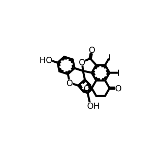 O=C1CCC(=O)c2c1c(I)c(I)c1c2C2(OC1=O)c1ccc(O)cc1Oc1cc(O)ccc12